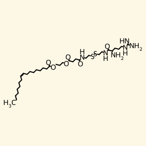 CCCCCCCC/C=C\CCCCCCCC(=O)OCCCOC(=O)CCC(=O)NCCSSCCNC(=O)C(N)CCCNC(=N)N